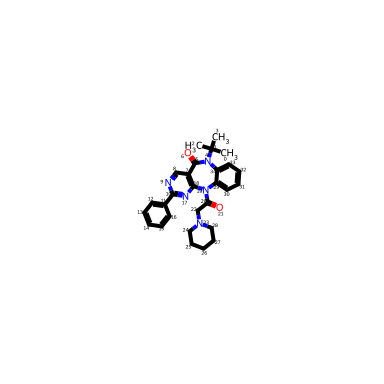 CC(C)(C)N1C(=O)c2cnc(-c3ccccc3)nc2N(C(=O)CN2CCCCC2)c2ccccc21